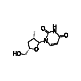 C[C@H]1C[C@@H](CO)OC1n1ccc(=O)[nH]c1=O